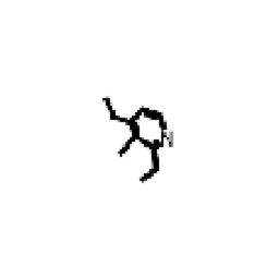 CCc1ccnc(CC)c1C